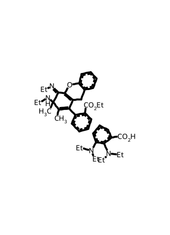 CCN(CC)c1cccc(C(=O)O)c1N(CC)CC.CCN=C1C2=C(Cc3ccccc3O2)C(c2ccccc2C(=O)OCC)=C(C)C1(C)NCC